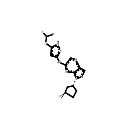 O[C@@H]1CC[C@@H](n2ncc3ncc(Nc4cc(OC(F)F)[nH]n4)nc32)C1